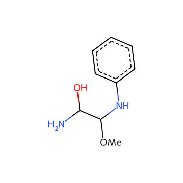 COC(Nc1ccccc1)C(N)O